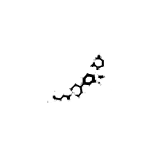 Cn1c(=O)n(C2CCC(=O)NC2=O)c2ccc(C3CCN(C(=O)CCC(=O)O)CC3)cc21